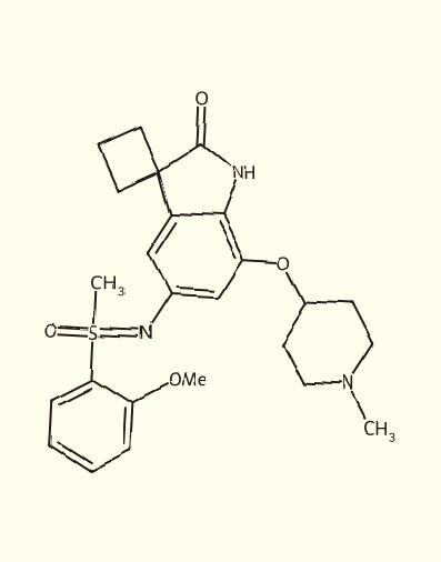 COc1ccccc1S(C)(=O)=Nc1cc(OC2CCN(C)CC2)c2c(c1)C1(CCC1)C(=O)N2